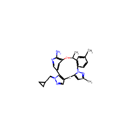 Cc1ccc2c(c1)C(C)Oc1cc(cnc1N)-c1c(cnn1CC1CC1)Cc1cc(C)nn1-2